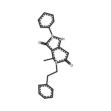 Cc1c2c(=O)n(-c3ccccc3)[nH]c2cc(=O)n1CCc1ccccc1